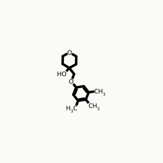 Cc1cc(OCC2(O)CCOCC2)cc(C)c1C